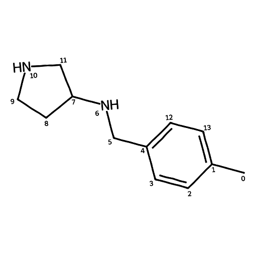 Cc1ccc(CNC2CCNC2)cc1